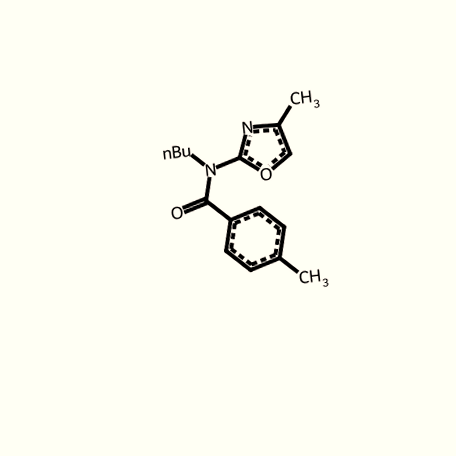 CCCCN(C(=O)c1ccc(C)cc1)c1nc(C)co1